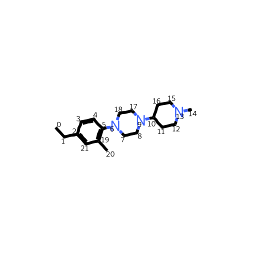 CCc1ccc(N2CCN(C3CCN(C)CC3)CC2)c(C)c1